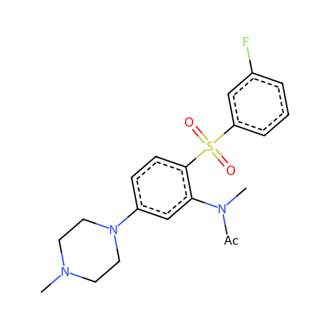 CC(=O)N(C)c1cc(N2CCN(C)CC2)ccc1S(=O)(=O)c1cccc(F)c1